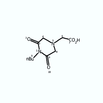 CCCCN1C(=O)CN(CC(=O)O)CC1=O